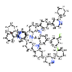 N#Cc1c(-n2c3cc(-c4ccnc(-c5ccccc5)c4)ccc3c3ccc(-c4ccnc(-c5ccccc5)c4)cc32)cc(-c2cc(F)cc(F)c2)cc1-n1c2cc(-c3ccnc(-c4ccccc4)c3)ccc2c2ccc(-c3ccnc(-c4ccccc4)c3)cc21